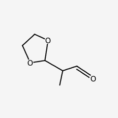 CC(C=O)C1OCCO1